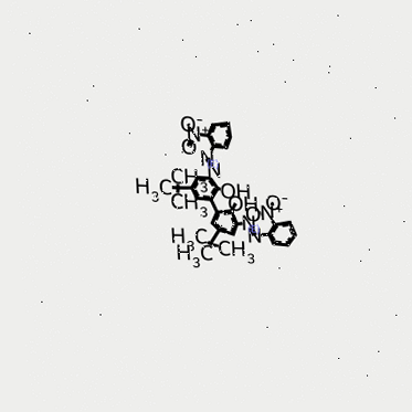 CC(C)(C)c1cc(/N=N/c2ccccc2[N+](=O)[O-])c(O)c(-c2cc(C(C)(C)C)cc(/N=N/c3ccccc3[N+](=O)[O-])c2O)c1